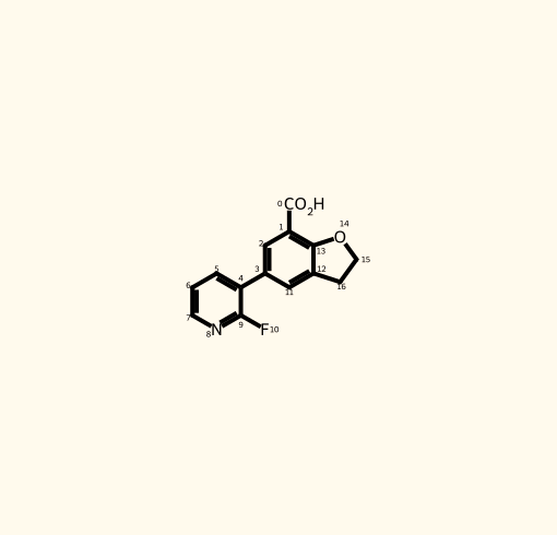 O=C(O)c1cc(-c2cccnc2F)cc2c1OCC2